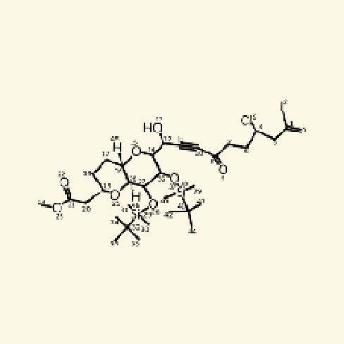 C=C(I)C[C@H](Cl)CCC(=O)C#C[C@H](O)C1O[C@H]2CC[C@H](CC(=O)OC)O[C@@H]2C(O[Si](C)(C)C(C)(C)C)C1O[Si](C)(C)C(C)(C)C